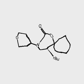 CCCC[C@H]1CN(C2CCOCC2)C(=O)OC12CCCCC2